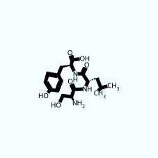 CC(C)C[C@H](NC(=O)[C@@H](N)CO)C(=O)N[C@@H](Cc1ccc(O)cc1)C(=O)O